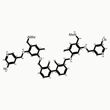 CNCc1cc(C)c(OCc2cccc(-c3cccc(COc4cc(OCc5cncc(C#N)c5)c(CNC)cc4C)c3C)c2C)cc1OCc1cncc(C#N)c1